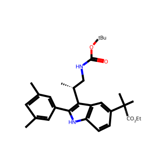 CCOC(=O)C(C)(C)c1ccc2[nH]c(-c3cc(C)cc(C)c3)c([C@H](C)CNC(=O)OC(C)(C)C)c2c1